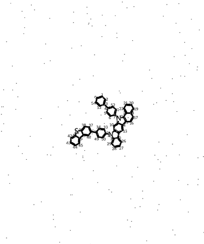 c1ccc(-c2ccc(-n3c4cc5c(cc4c4ccc6ccccc6c43)c3ccccc3n5-c3ccc(-c4ccc5sc6ccccc6c5c4)cc3)cc2)cc1